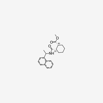 COC(=O)[C@@H]1CCCC[C@@H]1C(=O)NC(C)c1cccc2ccccc12